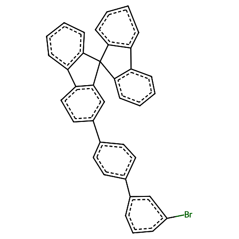 Brc1cccc(-c2ccc(-c3ccc4c(c3)C3(c5ccccc5-c5ccccc53)c3ccccc3-4)cc2)c1